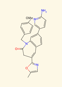 COc1ccc(CN2C(=O)CC(c3ncc(C)o3)=Cc3ccc(-c4ccc(N)nc4)cc32)cc1